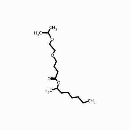 CCCCCCC(C)OC(=O)CCCOCCOC(C)C